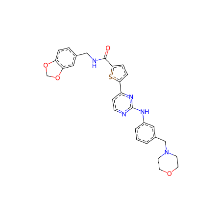 O=C(NCc1ccc2c(c1)OCO2)c1ccc(-c2ccnc(Nc3cccc(CN4CCOCC4)c3)n2)s1